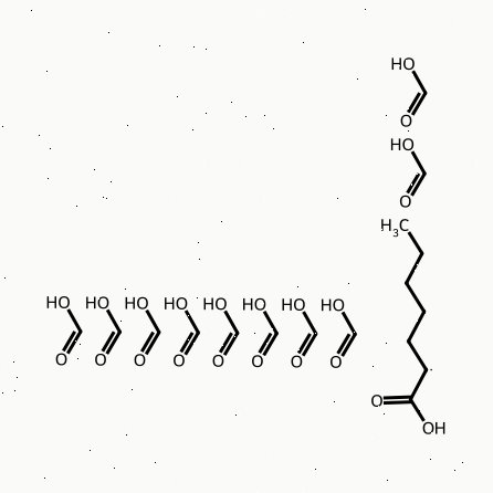 CCCCC[CH]C(=O)O.O=CO.O=CO.O=CO.O=CO.O=CO.O=CO.O=CO.O=CO.O=CO.O=CO